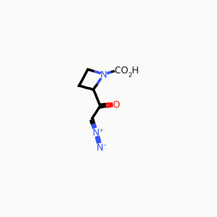 [N-]=[N+]=CC(=O)C1CCN1C(=O)O